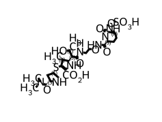 C[C@H]1C(S[C@@H]2CN[C@H](C(=O)N(C)C)C2)=C(C(=O)O)NC1[C@H](C(=O)NCCONC(=O)[C@@H]1CC[C@@H]2CN1C(=O)N2OS(=O)(=O)O)[C@@H](C)O